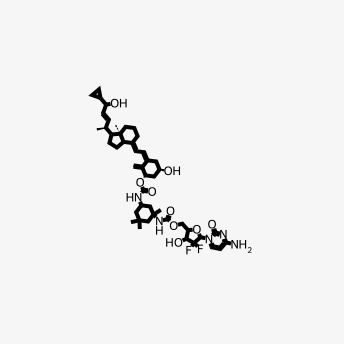 C=C1/C(=C\C=C2/CCC[C@@]3(C)C2CCC3[C@@H](C)/C=C/C(O)C2CC2)C[C@@H](O)C[C@@H]1OC(=O)NC1CC(C)(C)CC(C)(NC(=O)OCC2OC(n3ccc(N)nc3=O)C(F)(F)C2O)C1